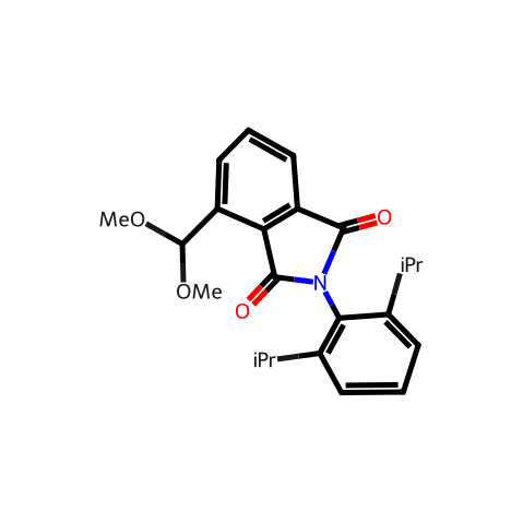 COC(OC)c1cccc2c1C(=O)N(c1c(C(C)C)cccc1C(C)C)C2=O